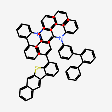 c1ccc(-c2ccccc2-c2cccc(N(c3ccccc3-c3ccccc3)c3ccccc3-c3cccc(N(c4ccc(-c5cccc6c5sc5cc7ccccc7cc56)cc4)c4ccccc4-c4ccccc4)c3)c2)cc1